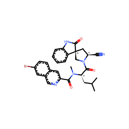 CC(C)C[C@@H](C(=O)N1C[C@]2(C[C@H]1C#N)C(=O)Nc1ccccc12)N(C)C(=O)c1cc2ccc(Br)cc2cn1